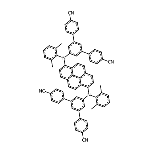 Cc1cccc(C)c1N(c1cc(-c2ccc(C#N)cc2)cc(-c2ccc(C#N)cc2)c1)c1ccc2ccc3c(N(c4cc(-c5ccc(C#N)cc5)cc(-c5ccc(C#N)cc5)c4)c4c(C)cccc4C)ccc4ccc1c2c43